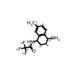 Cc1ccc2c(c1)C(NC(=O)C(F)(F)F)CCC2N